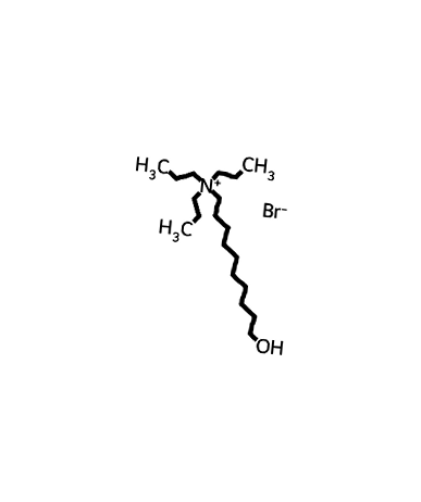 CCC[N+](CCC)(CCC)CCCCCCCCCCO.[Br-]